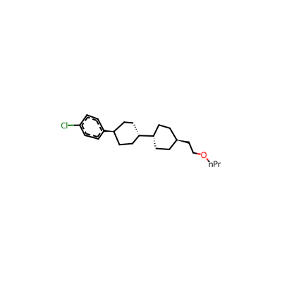 CCCOCC[C@H]1CC[C@H]([C@H]2CC[C@H](c3ccc(Cl)cc3)CC2)CC1